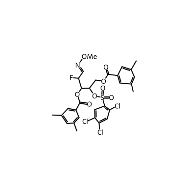 CON=CC(F)C(OC(=O)c1cc(C)cc(C)c1)C(COC(=O)c1cc(C)cc(C)c1)OS(=O)(=O)c1cc(Cl)c(Cl)cc1Cl